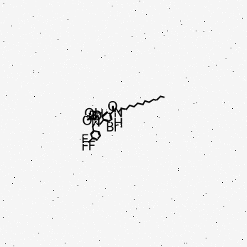 CCCCCCCCCCCCNC(=O)c1cc(Br)c(CN(Cc2cccc(C(F)(F)F)c2)C(=O)C(=O)O)c(Br)c1